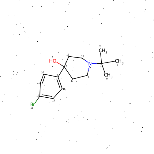 CC(C)(C)N1CCC(O)(c2ccc(Br)cc2)CC1